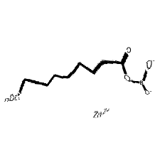 CCCCCCCCCCCCCCCC(=O)OB([O-])[O-].[Zn+2]